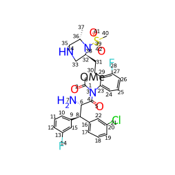 COC(=O)N(C(=O)[C@@H](N)[C@H](c1cccc(F)c1)c1cccc(Cl)c1)c1cccc(F)c1CC[C@H]1CNC[C@H](C)N1S(C)(=O)=O